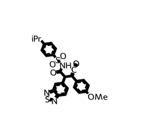 COc1ccc(C(=C=O)C(C(=O)NS(=O)(=O)c2ccc(C(C)C)cc2)c2ccc3nsnc3c2)cc1